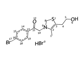 Br.CC1=C(CCO)SCN1CC(=O)c1ccc(Br)cc1